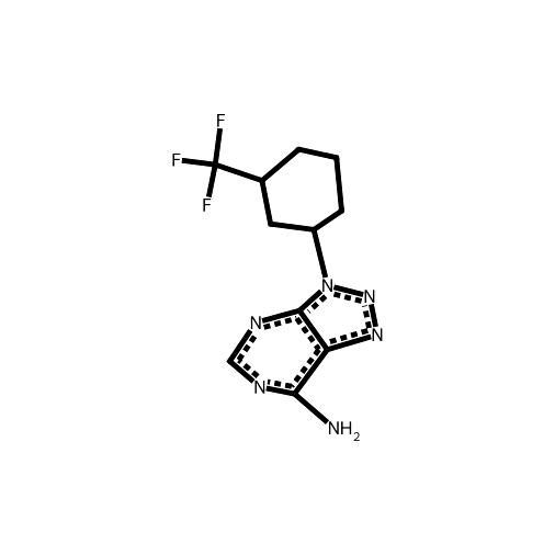 Nc1ncnc2c1nnn2C1CCCC(C(F)(F)F)C1